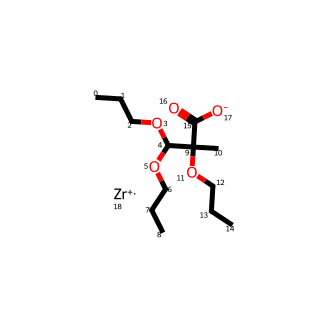 CCCOC(OCCC)C(C)(OCCC)C(=O)[O-].[Zr+]